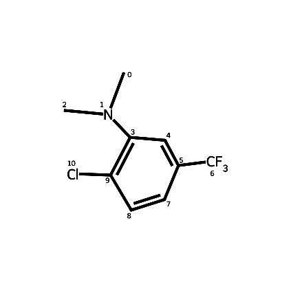 CN(C)c1cc(C(F)(F)F)ccc1Cl